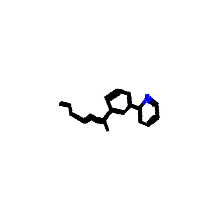 C=C/C=C\C=C(/C)c1cccc(-c2ccccn2)c1